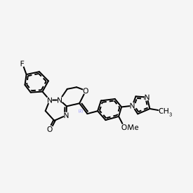 COc1cc(/C=C2\OCCN3C2=NC(=O)CN3c2ccc(F)cc2)ccc1-n1cnc(C)c1